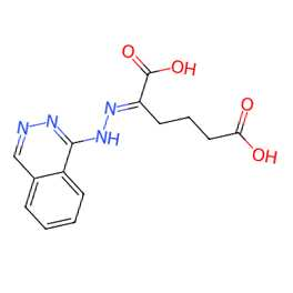 O=C(O)CCC/C(=N\Nc1nncc2ccccc12)C(=O)O